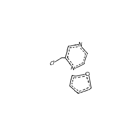 Clc1cnccn1.c1ccoc1